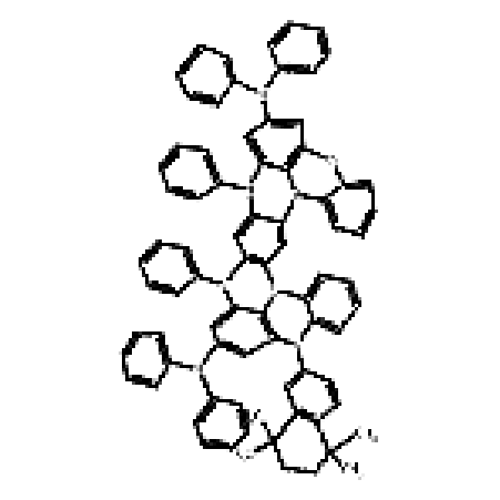 CC1(C)CCC(C)(C)c2cc(N3c4ccccc4B4c5cc6c(cc5N(c5ccccc5)c5cc(N(c7ccccc7)c7ccccc7)cc3c54)N(c3ccccc3)c3cc(N(c4ccccc4)c4ccccc4)cc4c3B6c3ccccc3O4)ccc21